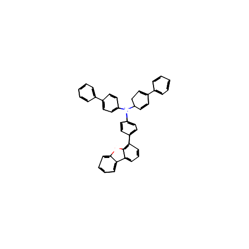 C1=CC(N(c2ccc(-c3ccccc3)cc2)c2ccc(-c3cccc4c3oc3ccccc34)cc2)CC=C1c1ccccc1